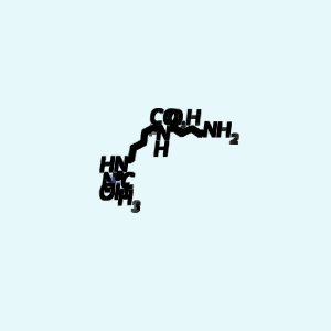 C/C(=N\O)NCCCC[C@H](NC(=O)CCCN)C(=O)O